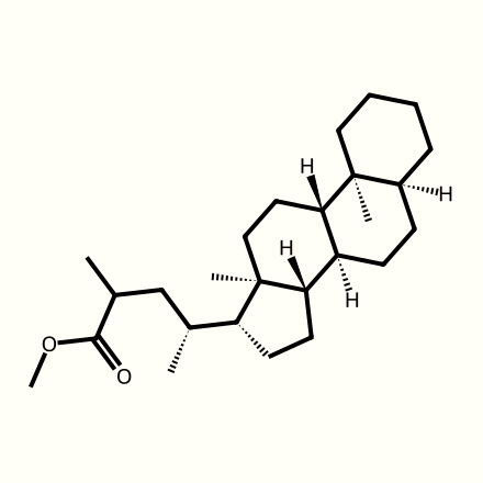 COC(=O)C(C)C[C@@H](C)[C@H]1CC[C@H]2[C@@H]3CC[C@@H]4CCCC[C@]4(C)[C@H]3CC[C@]12C